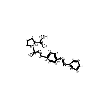 O=C(O)[C@@H]1CCCN1C(=O)OCc1ccc(N=Nc2ccccc2)cc1